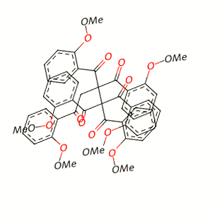 COOc1ccccc1C(=O)CC(C(=O)c1ccccc1OOC)(C(=O)c1ccccc1OOC)C(C(=O)c1ccccc1OOC)(C(=O)c1ccccc1OOC)C(=O)c1ccccc1OOC